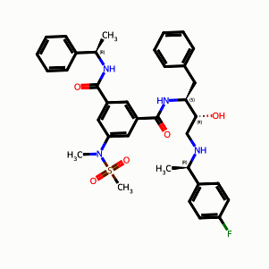 C[C@@H](NC[C@@H](O)[C@H](Cc1ccccc1)NC(=O)c1cc(C(=O)N[C@H](C)c2ccccc2)cc(N(C)S(C)(=O)=O)c1)c1ccc(F)cc1